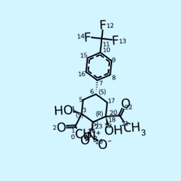 CC(=O)[C@]1(O)C[C@H](c2ccc(C(F)(F)F)cc2)C[C@](O)(C(C)=O)[C@H]1[N+](=O)[O-]